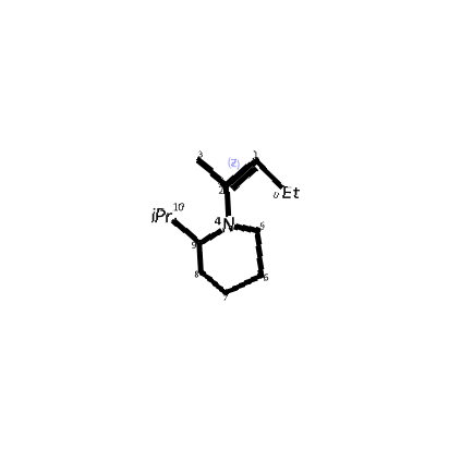 CC/C=C(/C)N1CCCCC1C(C)C